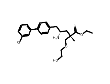 CCOC(=O)[C@](C)(COCCO)C[C@H](N)Cc1ccc(-c2cccc(Cl)c2)cc1